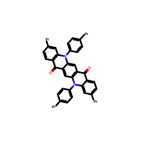 CC(C)c1ccc(-n2c3cc(C(C)C)ccc3c(=O)c3cc4c(cc32)c(=O)c2ccc(C(C)C)cc2n4-c2ccc(C(C)C)cc2)cc1